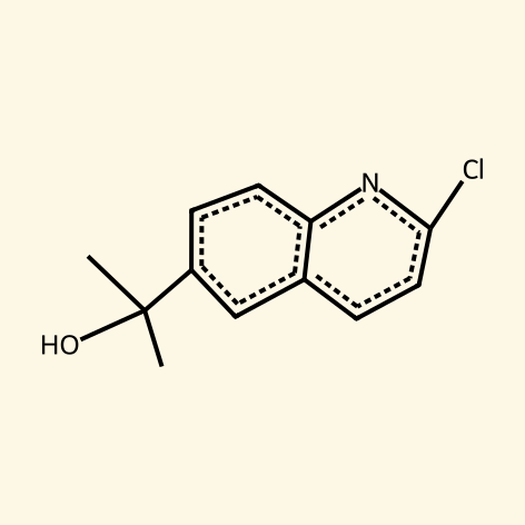 CC(C)(O)c1ccc2nc(Cl)ccc2c1